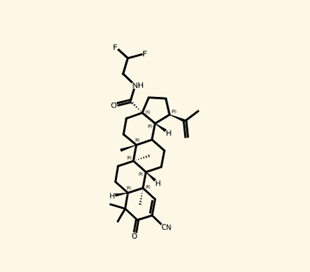 C=C(C)[C@@H]1CC[C@]2(C(=O)NCC(F)F)CC[C@]3(C)C(CC[C@@H]4[C@@]5(C)C=C(C#N)C(=O)C(C)(C)[C@@H]5CC[C@]43C)[C@@H]12